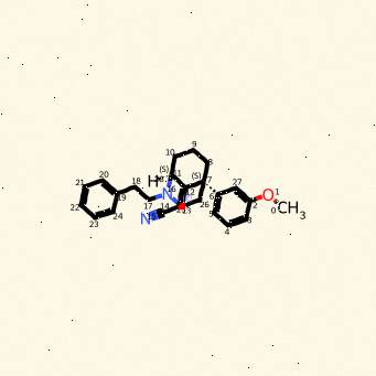 COc1cccc([C@@]23CCC[C@@H](/C2=C\C#N)N(CCc2ccccc2)CC3)c1